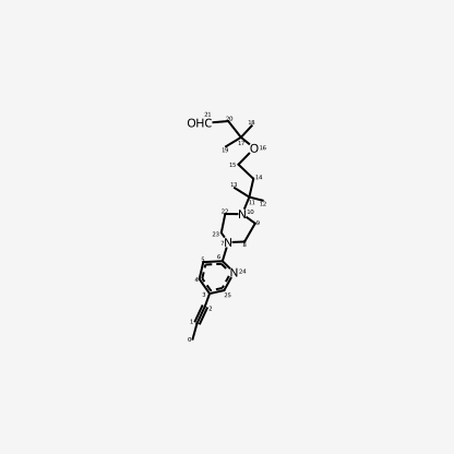 CC#Cc1ccc(N2CCN(C(C)(C)CCOC(C)(C)CC=O)CC2)nc1